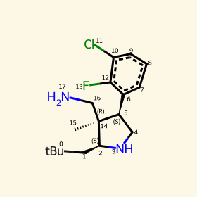 CC(C)(C)C[C@@H]1NC[C@H](c2cccc(Cl)c2F)[C@]1(C)CN